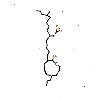 CCCC(C)CCCCC(CCCCCC1CCCC(CCC)CCCC[C@H]1S)CC1SS1